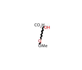 COCCOCCCCCC=CCC(O)C(=O)O